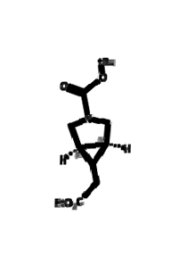 CCOC(=O)CC1[C@H]2CN(C(=O)OC(C)(C)C)C[C@@H]12